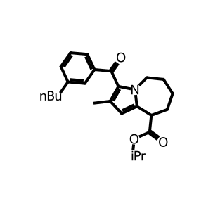 CCCCc1cccc(C(=O)c2c(C)cc3n2CCCCC3C(=O)OC(C)C)c1